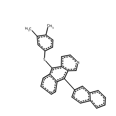 Cc1ccc(Sc2c3ccccc3c(-c3ccc4ccccc4c3)c3cnccc23)cc1C